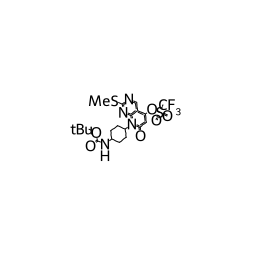 CSc1ncc2c(OS(=O)(=O)C(F)(F)F)cc(=O)n(C3CCC(NC(=O)OC(C)(C)C)CC3)c2n1